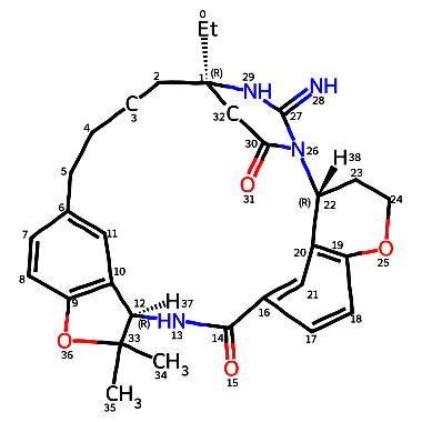 CC[C@]12CCCCc3ccc4c(c3)[C@@H](NC(=O)c3ccc5c(c3)[C@@H](CCO5)N(C(=N)N1)C(=O)C2)C(C)(C)O4